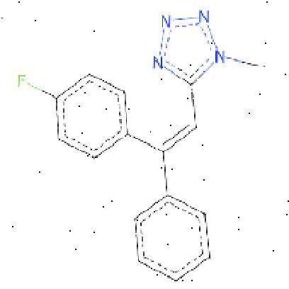 Cn1nnnc1C=C(c1ccccc1)c1ccc(F)cc1